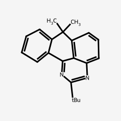 CC(C)(C)c1nc2c3c(cccc3n1)C(C)(C)c1ccccc1-2